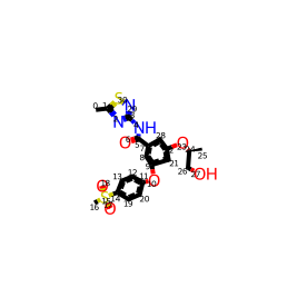 Cc1nc(NC(=O)c2cc(Oc3ccc(S(C)(=O)=O)cc3)cc(O[C@@H](C)CO)c2)ns1